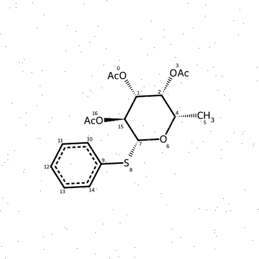 CC(=O)O[C@@H]1[C@H](OC(C)=O)[C@H](C)O[C@H](Sc2ccccc2)[C@H]1OC(C)=O